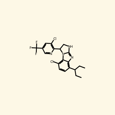 CCC(CC)c1ccc(Cl)c2c1nc1n2C(c2ncc(C(F)(F)F)cc2Cl)CN1